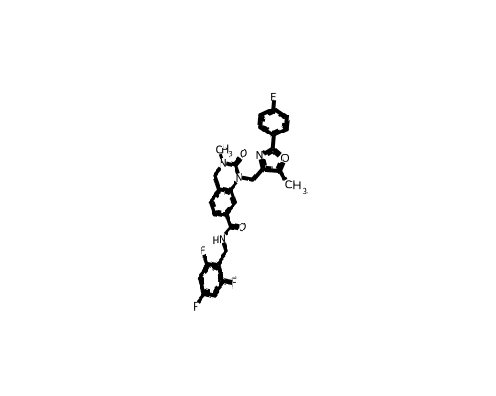 Cc1oc(-c2ccc(F)cc2)nc1CN1C(=O)N(C)Cc2ccc(C(=O)NCc3c(F)cc(F)cc3F)cc21